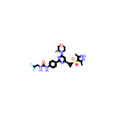 Cc1n[nH]c(C)c1S(=O)(=O)C1CC1c1cc(N2CCOC[C@@H]2C)nc(-c2ccc(NC(=O)NCC(F)F)cc2)n1